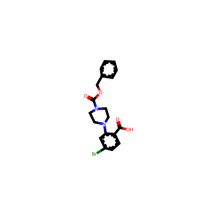 O=C(O)c1ccc(Br)cc1N1CCN(C(=O)OCc2ccccc2)CC1